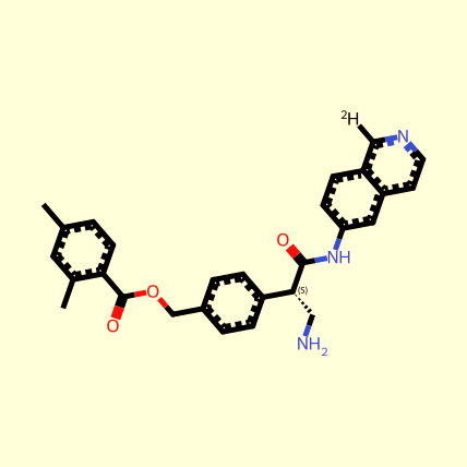 [2H]c1nccc2cc(NC(=O)[C@H](CN)c3ccc(COC(=O)c4ccc(C)cc4C)cc3)ccc12